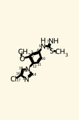 COc1cc(NC(=N)SC)ccc1-n1cnc(Cl)c1